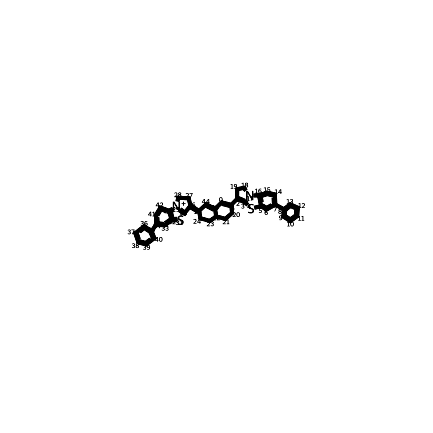 C1=C(C2=C3Sc4cc(-c5ccccc5)ccc4N3CC2)CCC2CC/C(=C3/CC[n+]4c3sc3cc(-c5ccccc5)ccc34)C=C12